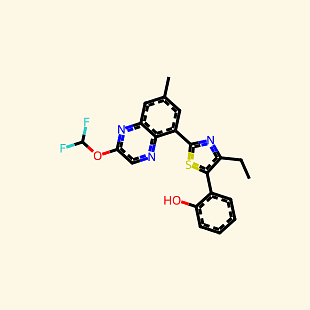 CCc1nc(-c2cc(C)cc3nc(OC(F)F)cnc23)sc1-c1ccccc1O